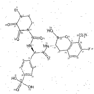 CCN1CCN(C(=O)N[C@@H](C(=O)N[C@H]2Cc3ccc(F)c(C(=O)O)c3OB2O)c2ccc(P(=O)(O)O)cc2)C(=O)C1=O